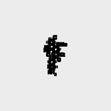 CCC(C(=O)Nc1ccc2nc(N)ccc2c1)n1cc(OC)c(-c2cc(Cl)ccc2-n2cc(Cl)nn2)cc1=O